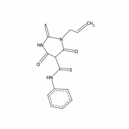 C=CCN1C(=O)C(C(=S)Nc2ccccc2)C(=O)NC1=S